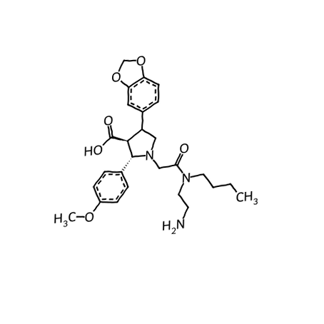 CCCCN(CCN)C(=O)CN1CC(c2ccc3c(c2)OCO3)[C@H](C(=O)O)[C@H]1c1ccc(OC)cc1